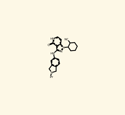 CC(C)N1Cc2ccc(Nc3nn(C4CCCCC4C#N)c4cc[nH]c(=O)c34)cc2C1